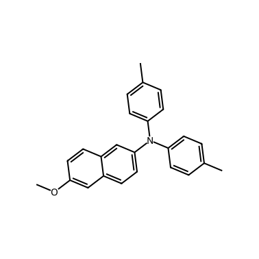 COc1ccc2cc(N(c3ccc(C)cc3)c3ccc(C)cc3)ccc2c1